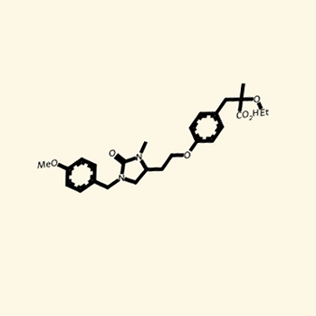 CCOC(C)(Cc1ccc(OCCC2CN(Cc3ccc(OC)cc3)C(=O)N2C)cc1)C(=O)O